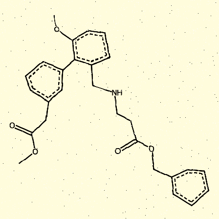 COC(=O)Cc1cccc(-c2c(CNCCC(=O)OCc3ccccc3)cccc2OC)c1